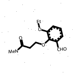 CCOc1cccc(C=O)c1OCCC(=O)NC